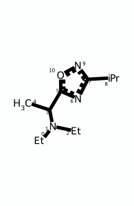 CCN(CC)C(C)c1nc(C(C)C)no1